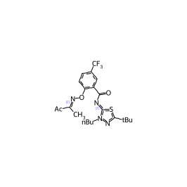 CCCCn1nc(C(C)(C)C)s/c1=N\C(=O)c1cc(C(F)(F)F)ccc1O/N=C(\C)C(C)=O